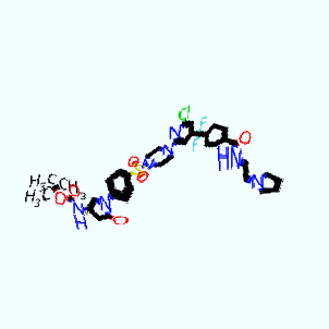 CC(C)(C)OC(=O)N[C@@H]1CC(=O)N(c2ccc(S(=O)(=O)N3CCN(c4cc(C(F)(F)C5CCC(C(=O)NCCN6CCCC6)CC5)cc(Cl)n4)CC3)cc2)C1